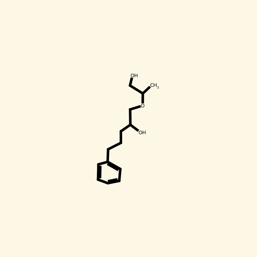 CC(CO)OCC(O)CCCc1ccccc1